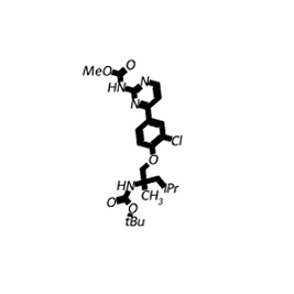 COC(=O)Nc1nccc(-c2ccc(OCC(C)(CC(C)C)NC(=O)OC(C)(C)C)c(Cl)c2)n1